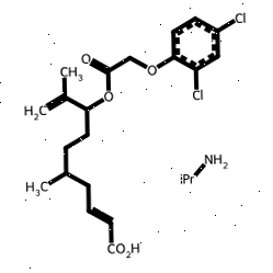 C=C(C)C(CCC(C)CC=CC(=O)O)OC(=O)COc1ccc(Cl)cc1Cl.CC(C)N